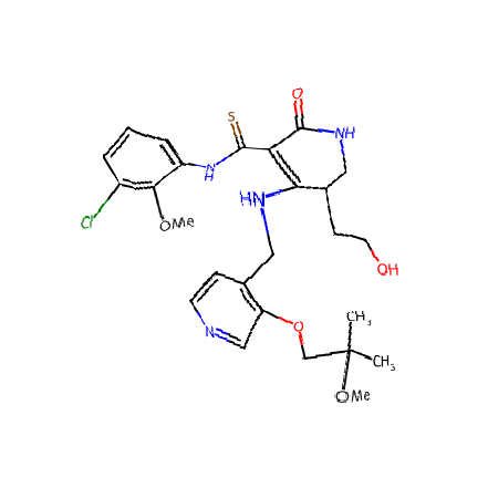 COc1c(Cl)cccc1NC(=S)C1=C(NCc2ccncc2OCC(C)(C)OC)C(CCO)CNC1=O